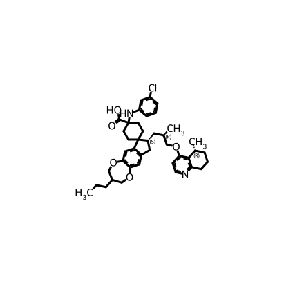 CCCC1COc2cc3c(cc2OC1)C1(CCC(Nc2cccc(Cl)c2)(C(=O)O)CC1)[C@@H](C[C@@H](C)COc1ccnc2c1[C@H](C)CCC2)C3